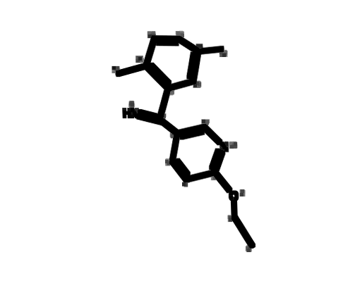 CCOc1ccc(C(=N)c2cc(C)ccc2C)cn1